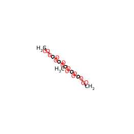 C=CC(=O)OCCOc1ccc(C(=O)Oc2ccc(C(=O)Oc3ccc(OC(=O)c4ccc(OC(=O)c5ccc(OCCOC(=O)C=C)cc5)cc4)c(C)c3)cc2)cc1